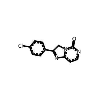 O=c1nccc2n1CC(c1ccc(Cl)cc1)=N2